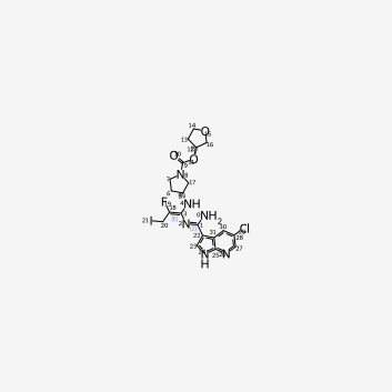 N/C(=N\C(N[C@@H]1CCN(C(=O)O[C@H]2CCOC2)C1)=C(\F)CI)c1c[nH]c2ncc(Cl)cc12